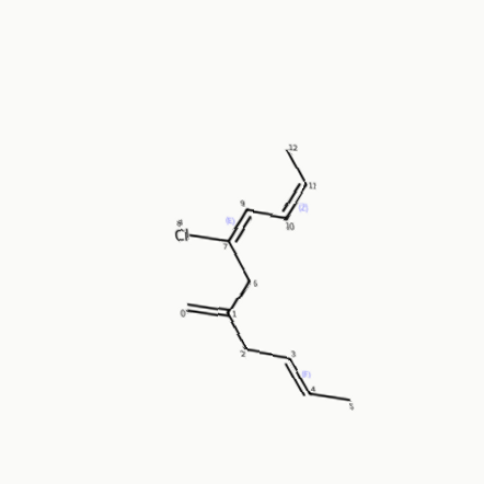 C=C(C/C=C/C)C/C(Cl)=C\C=C/C